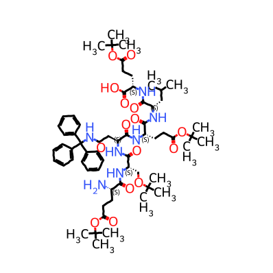 CC(C)C[C@H](NC(=O)[C@H](CCC(=O)OC(C)(C)C)NC(=O)[C@H](CC(=O)NC(c1ccccc1)(c1ccccc1)c1ccccc1)NC(=O)[C@H](COC(C)(C)C)NC(=O)[C@@H](N)CCC(=O)OC(C)(C)C)C(=O)N[C@@H](CCC(=O)OC(C)(C)C)C(=O)O